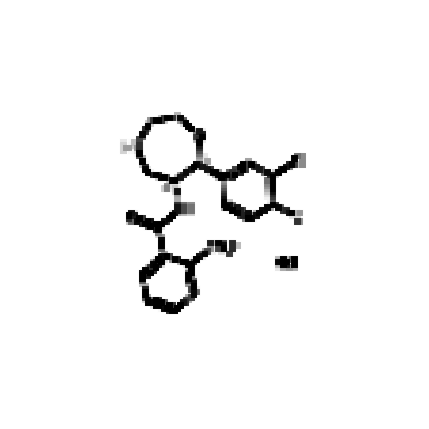 Cl.O=C(O)c1ccccc1C(=O)N[C@@H]1CNCCO[C@H]1c1ccc(Cl)c(Cl)c1